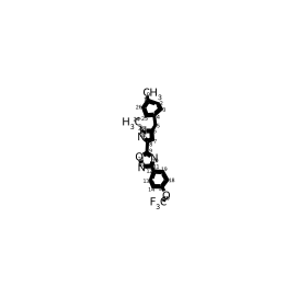 Cc1ccc(Cc2cc(-c3nc(-c4ccc(OC(F)(F)F)cc4)no3)nn2C)cc1